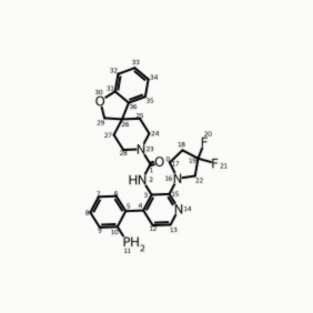 O=C(Nc1c(-c2ccccc2P)ccnc1N1CCC(F)(F)C1)N1CCC2(CC1)COc1ccccc12